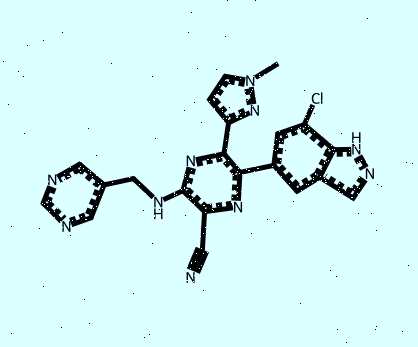 Cn1ccc(-c2nc(NCc3cncnc3)c(C#N)nc2-c2cc(Cl)c3[nH]ncc3c2)n1